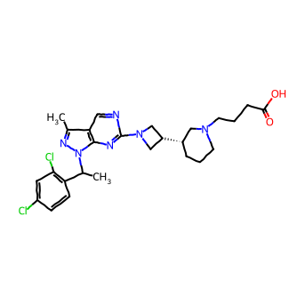 Cc1nn(C(C)c2ccc(Cl)cc2Cl)c2nc(N3CC([C@H]4CCCN(CCCC(=O)O)C4)C3)ncc12